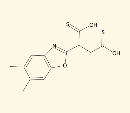 Cc1cc2nc(C(CC(O)=S)C(O)=S)oc2cc1C